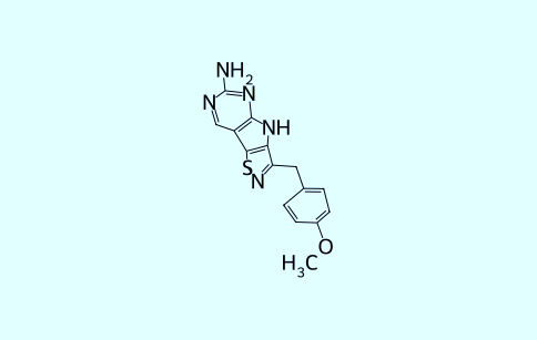 COc1ccc(Cc2nsc3c2[nH]c2nc(N)ncc23)cc1